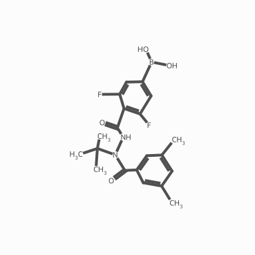 Cc1cc(C)cc(C(=O)N(NC(=O)c2c(F)cc(B(O)O)cc2F)C(C)(C)C)c1